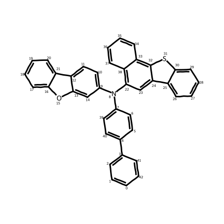 c1ccc(-c2ccc(N(c3ccc4c(c3)oc3ccccc34)c3cc4c5ccccc5sc4c4ccccc34)cc2)cc1